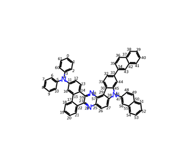 c1ccc(N(c2ccccc2)c2ccc3c(c2)c2ccccc2c2nc4ccc5c(c6ccc(-c7ccc8ccccc8c7)cc6n5-c5ccc6ccccc6c5)c4nc32)cc1